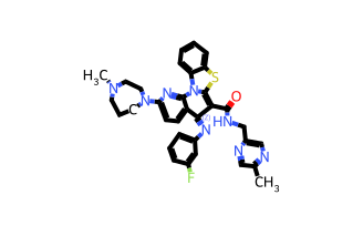 Cc1cnc(CNC(=O)c2/c(=N/c3cccc(F)c3)c3ccc(N4CCCN(C)CC4)nc3n3c2sc2ccccc23)cn1